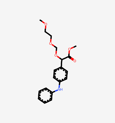 COCCOCOC(C(=O)OC)c1ccc(Nc2ccccc2)cc1